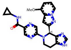 COc1cccn2nc([C@H]3c4nc[nH]c4CCN3c3cnc(C(=O)NC4CC4)cn3)cc12